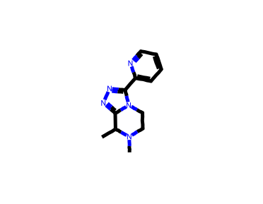 CC1c2nnc(-c3ccccn3)n2CCN1C